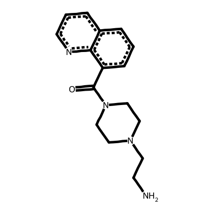 NCCN1CCN(C(=O)c2cccc3cccnc23)CC1